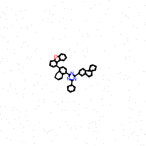 C1=Cc2c(-c3nc(-c4ccccc4)nc(-c4ccc5c(ccc6ccccc65)c4)n3)ccc(-c3cccc4oc5ccccc5c34)c2CC1